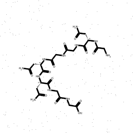 NCC(=O)N[C@@H](CC(N)=O)C(=O)NCC(=O)NCC(=O)N[C@@H](CC(N)=O)C(=O)N[C@@H](CC(N)=O)C(=O)NCC(=O)NCC(=O)O